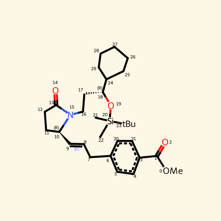 COC(=O)c1ccc(C/C=C/[C@H]2CCC(=O)N2CC[C@@H](O[Si](C)(C)C(C)(C)C)C2CCCCC2)cc1